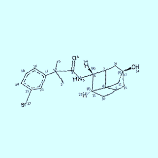 CC(C)(C(=O)N[C@@H]1C2CC3C[C@@H]1C[C@@](O)(C3)C2)c1cccc(Br)c1